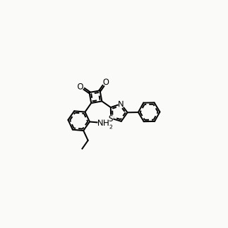 CCc1cccc(-c2c(-c3nc(-c4ccccc4)cs3)c(=O)c2=O)c1N